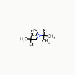 CCCN(CC(C)(CC)C(C)(C)C)C(C)(C)CC